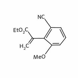 C=C(C(=O)OCC)c1c(C#N)cccc1OC